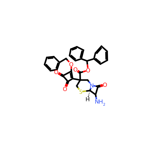 NC1C(=O)N2CC(C(=O)OC(c3ccccc3)c3ccccc3)(c3c(OCc4ccccc4)c(=O)c3=O)CS[C@H]12